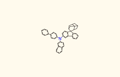 c1ccc(-c2ccc(N(c3ccc4c(c3)-c3ccccc3C43C4CC5CC(C4)CC3C5)c3ccc4ccccc4c3)cc2)cc1